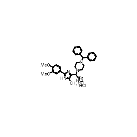 COc1ccc(-c2nc(C(C(C)C)N3CCN(C(c4ccccc4)c4ccccc4)CC3)c(C)[nH]2)cc1OC.Cl.Cl.Cl